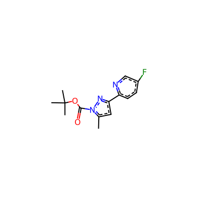 Cc1cc(-c2ccc(F)cn2)nn1C(=O)OC(C)(C)C